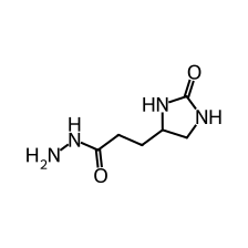 NNC(=O)CCC1CNC(=O)N1